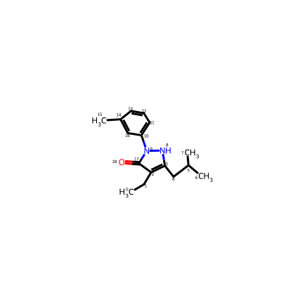 CCc1c(CC(C)C)[nH]n(-c2cccc(C)c2)c1=O